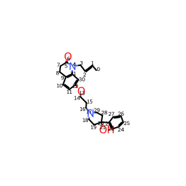 CC=CCN1C(=O)CCc2ccc(OCCCN3CCC(O)(c4ccccc4)CC3)cc21